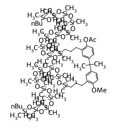 CCCC[Si](C)(C)O[Si](C)(C)O[Si](C)(C)O[Si](C)(C)O[Si](C)(C)O[Si](C)(C)O[Si](C)(C)O[Si](C)(C)O[Si](C)(C)O[Si](C)(C)CCCc1cc(C(C)(C)c2ccc(OC(C)=O)c(CCC[Si](C)(C)O[Si](C)(C)O[Si](C)(C)O[Si](C)(C)O[Si](C)(C)O[Si](C)(C)O[Si](C)(C)O[Si](C)(C)O[Si](C)(C)O[Si](C)(C)CCCC)c2)ccc1OC